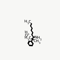 CCCCCCCC(N)C(C)(C)c1ccccc1.O